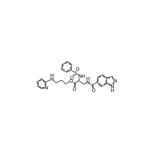 O=C(NCC(NS(=O)(=O)c1ccccc1)C(=O)OCCCNc1ccccn1)c1ccc2cn[nH]c2c1